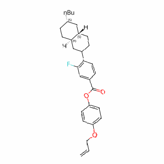 C=CCOc1ccc(OC(=O)c2ccc(C3CC[C@H]4C[C@@H](CCCC)CC[C@@H]4C3)c(F)c2)cc1